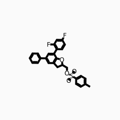 Cc1ccc(S(=O)(=O)OCC2Cc3cc(-c4ccccc4)cc(-c4ccc(F)cc4F)c3O2)cc1